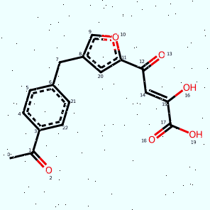 CC(=O)c1ccc(Cc2coc(C(=O)/C=C(\O)C(=O)O)c2)cc1